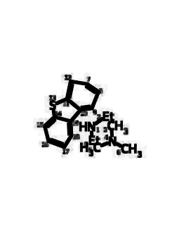 CCNCC.CN(C)C.c1ccc2c(c1)sc1ccccc12